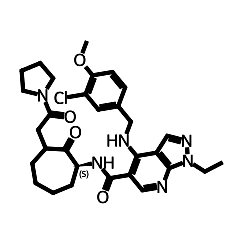 CCn1ncc2c(NCc3ccc(OC)c(Cl)c3)c(C(=O)N[C@H]3CCCCC(CC(=O)N4CCCC4)C3=O)cnc21